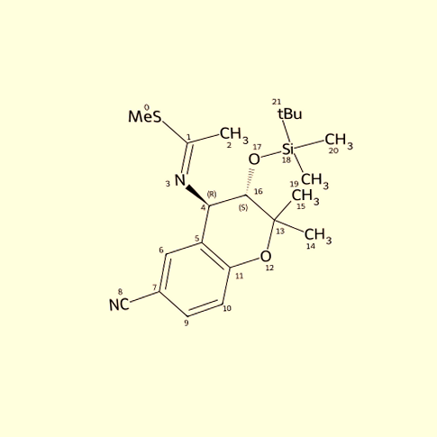 CSC(C)=N[C@@H]1c2cc(C#N)ccc2OC(C)(C)[C@H]1O[Si](C)(C)C(C)(C)C